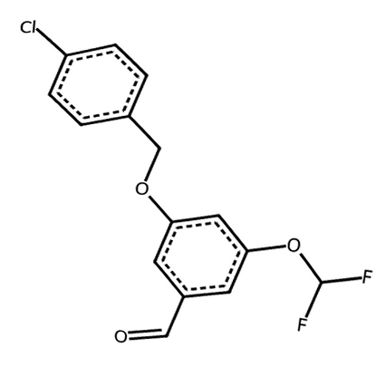 O=Cc1cc(OCc2ccc(Cl)cc2)cc(OC(F)F)c1